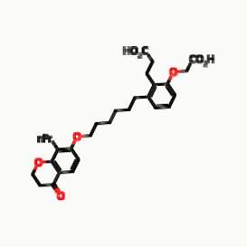 CCCc1c(OCCCCCCc2cccc(OCC(=O)O)c2CCC(=O)O)ccc2c1OCCC2=O